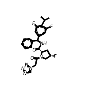 CC(C)c1c(F)cc(C(NC(=O)[C@@H]2C[C@@H](F)CN2C(=O)Cn2cnnn2)c2ccccc2)cc1F